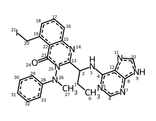 CCC(Nc1ncnc2[nH]cnc12)c1nc2cccc(CI)c2c(=O)n1N(C)c1ccccc1